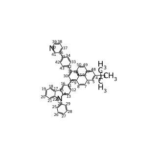 CC(C)(C)C1=CC2C=Cc3c(-c4ccc5c(c4)c4ccccc4n5-c4ccccc4)cc(-c4ccc(-c5cccnc5)cc4)c4c3C2C(=C1)C=C4